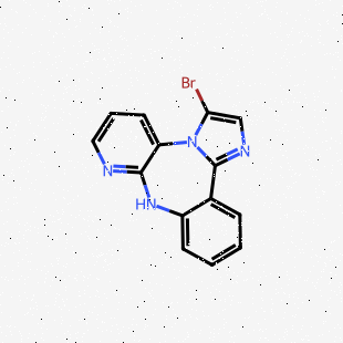 Brc1cnc2n1-c1cccnc1Nc1ccccc1-2